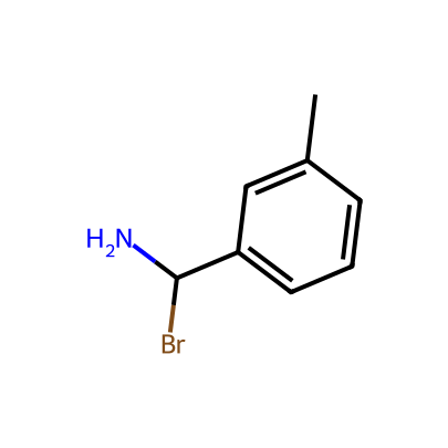 Cc1cccc(C(N)Br)c1